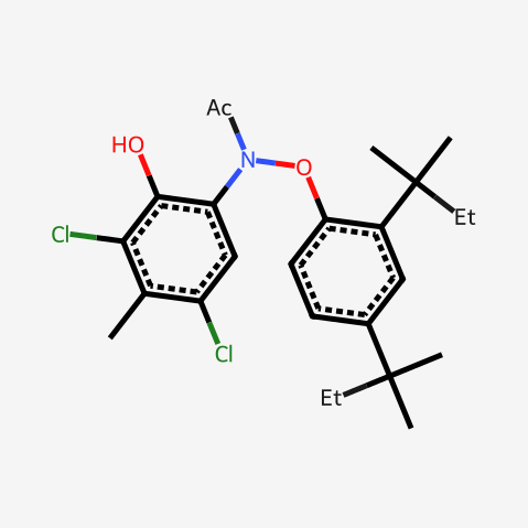 CCC(C)(C)c1ccc(ON(C(C)=O)c2cc(Cl)c(C)c(Cl)c2O)c(C(C)(C)CC)c1